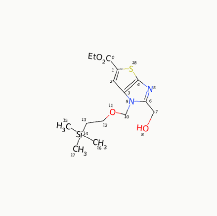 CCOC(=O)c1cc2c(nc(CO)n2COCC[Si](C)(C)C)s1